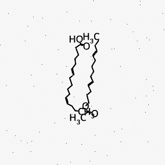 CCC/C=C\CCCC/C=C/CCCCC(=O)O.CCCC=CCCCCC=CCCCOC(C)=O